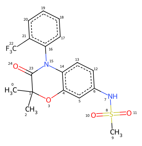 CC1(C)Oc2cc(NS(C)(=O)=O)ccc2N(c2ccccc2C(F)(F)F)C1=O